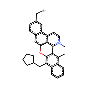 Cc1c2c(c(CC3CCCC3)c3ccccc13)Oc1cc3ccc(CC(C)C)cc3c3cc[n+](C)c-2c13